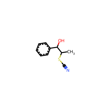 CC(SC#N)C(O)c1ccccc1